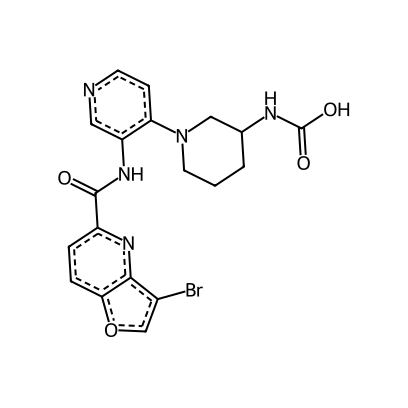 O=C(O)NC1CCCN(c2ccncc2NC(=O)c2ccc3occ(Br)c3n2)C1